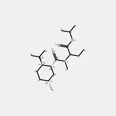 CCC(C(=O)OC(C)C)N(C)C(=O)[C@@H]1C[C@H](C)CC[C@H]1C(C)C